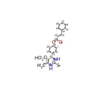 CC1=C(C(=O)O)C(c2ccc(OC(=O)C=Cc3ccccc3)cc2)NC(=S)N1